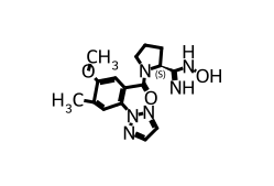 COc1cc(C(=O)N2CCC[C@H]2C(=N)NO)c(-n2nccn2)cc1C